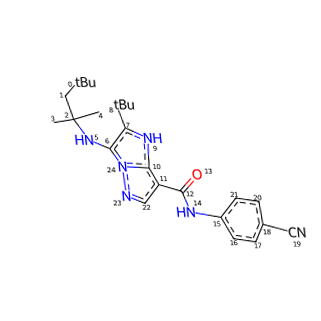 CC(C)(C)CC(C)(C)Nc1c(C(C)(C)C)[nH]c2c(C(=O)Nc3ccc(C#N)cc3)cnn12